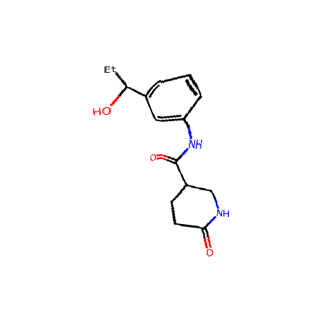 [CH2]CC(O)c1cccc(NC(=O)C2CCC(=O)NC2)c1